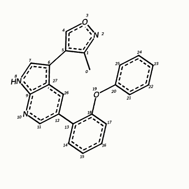 Cc1nocc1-c1c[nH]c2ncc(-c3ccccc3Oc3ccccc3)cc12